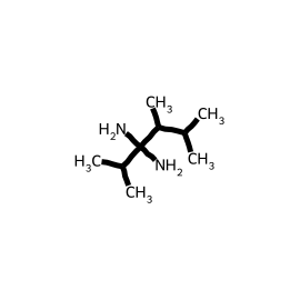 CC(C)C(C)C(N)(N)C(C)C